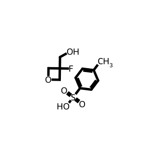 Cc1ccc(S(=O)(=O)O)cc1.OCC1(F)COC1